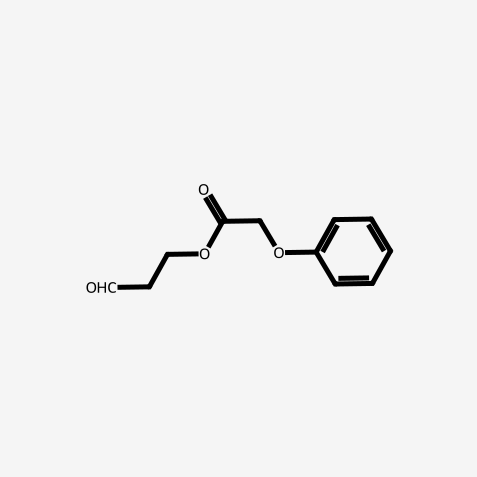 O=CCCOC(=O)COc1ccccc1